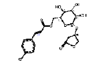 O=C(/C=C/c1ccc(Cl)cc1)OC[C@H]1O[C@@H](O[C@H]2COC(=O)C2)[C@H](O)[C@@H](O)[C@@H]1O